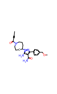 CC#CC(=O)N1CCCC(n2nc(-c3ccc(COC)cc3)c(C(N)=O)c2N)CCC1